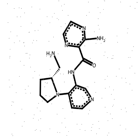 NC[C@H]1CCCN1c1ccncc1NC(=O)c1nccnc1N